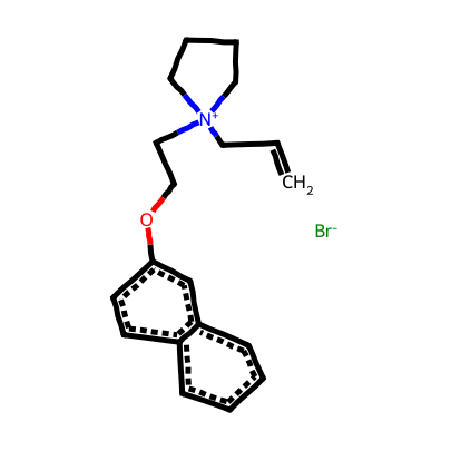 C=CC[N+]1(CCOc2ccc3ccccc3c2)CCCC1.[Br-]